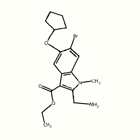 CCOC(=O)c1c(CN)n(C)c2cc(Br)c(OC3CCCC3)cc12